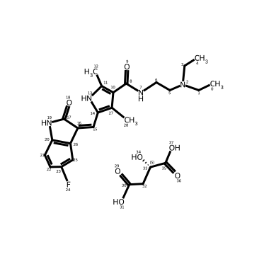 CCN(CC)CCNC(=O)c1c(C)[nH]c(C=C2C(=O)Nc3ccc(F)cc32)c1C.O=C(O)C[C@H](O)C(=O)O